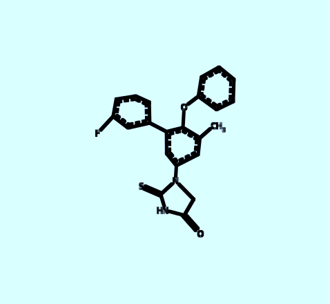 Cc1cc(N2CC(=O)NC2=S)cc(-c2cccc(F)c2)c1Oc1ccccc1